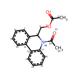 CC(=O)OCC1c2ccccc2-c2ccccc2N1C(C)=O